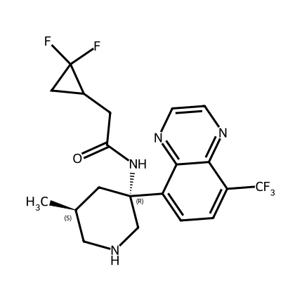 C[C@@H]1CNC[C@](NC(=O)CC2CC2(F)F)(c2ccc(C(F)(F)F)c3nccnc23)C1